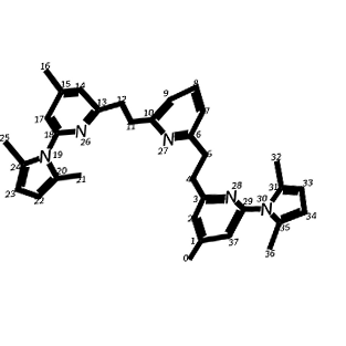 Cc1cc(CCc2cccc(CCc3cc(C)cc(-n4c(C)ccc4C)n3)n2)nc(-n2c(C)ccc2C)c1